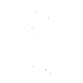 CCCN(CCC)C(=O)C1=Cc2ccc(C(=O)Nc3cnc4c(c3)CC(NC(=O)OCc3ccccc3)C4)cc2N=C(N)C1